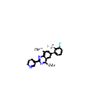 CNc1nc(-c2cccnc2)nc2c(OC)cc(-c3cccc(F)c3C)cc12